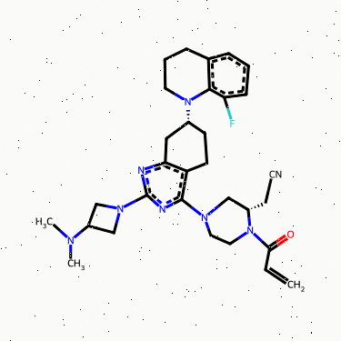 C=CC(=O)N1CCN(c2nc(N3CC(N(C)C)C3)nc3c2CC[C@@H](N2CCCc4cccc(F)c42)C3)C[C@@H]1CC#N